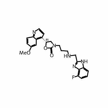 COc1ccc2nccc([C@@H]3CN(CCCNCc4nc5c(F)cccc5[nH]4)C(=O)O3)c2c1